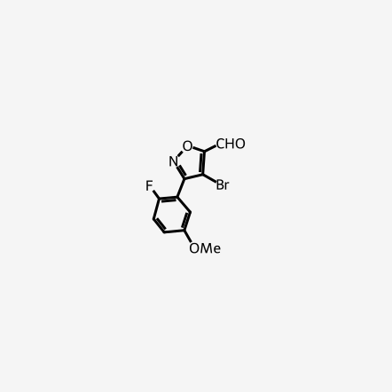 COc1ccc(F)c(-c2noc(C=O)c2Br)c1